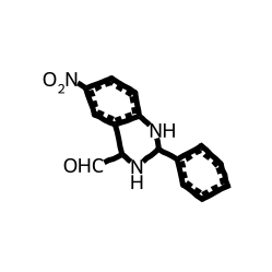 O=CC1NC(c2ccccc2)Nc2ccc([N+](=O)[O-])cc21